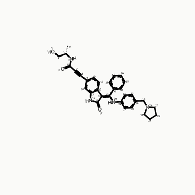 C[C@@H](CO)NC(=O)C#Cc1ccc2c(c1)NC(=O)/C2=C(\Nc1ccc(CN2CCCC2)cc1)c1ccccc1